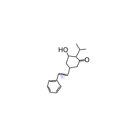 CC(C)C1C(=O)CC(/C=C/c2ccccc2)CC1O